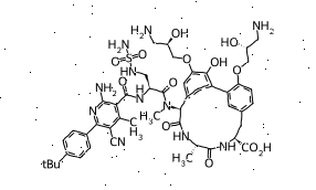 Cc1c(C#N)c(-c2ccc(C(C)(C)C)cc2)nc(N)c1C(=O)N[C@@H](CNS(N)(=O)=O)C(=O)N(C)[C@@H]1C(=O)N[C@@H](C)C(=O)N[C@H](C(=O)O)Cc2ccc(OC[C@H](O)CN)c(c2)-c2cc1cc(OC[C@H](O)CN)c2O